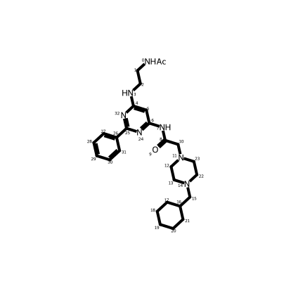 CC(=O)NCCNc1cc(NC(=O)CN2CCN(CC3CCCCC3)CC2)nc(-c2ccccc2)n1